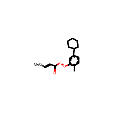 COC=CC(=O)OOc1cc(C2CCCCC2)ccc1C